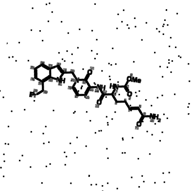 COC(=O)NC(CCC=CC(N)=O)C(=O)Nc1cccn(Cc2cc3cccc(CC(C)C)c3[nH]2)c1=O